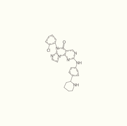 O=c1c2cnc(Nc3ccc(C4CCCCN4)cc3)nc2n2ccnc2n1-c1ccccc1Cl